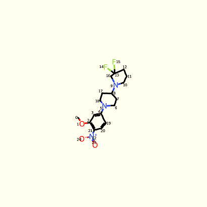 COc1cc(N2CCC(N3CCCC(F)(F)C3)CC2)ccc1[N+](=O)[O-]